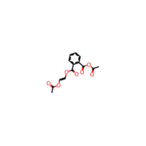 CC(=O)OC=COC(=O)c1ccccc1C(=O)OC(C)=O